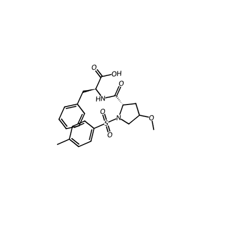 COC1C[C@@H](C(=O)N[C@@H](Cc2ccccc2)C(=O)O)N(S(=O)(=O)c2ccc(C)cc2)C1